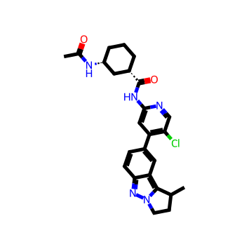 CC(=O)N[C@@H]1CCC[C@H](C(=O)Nc2cc(-c3ccc4nn5c(c4c3)C(C)CC5)c(Cl)cn2)C1